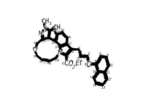 CCOC(=O)c1c(CCCOc2cccc3ccccc23)c2ccc(C)c3c2n1C/C=C\COCc1nn(C)c(C)c1-3